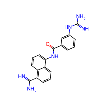 N=C(N)Nc1cccc(C(=O)Nc2cccc3c(C(=N)N)cccc23)c1